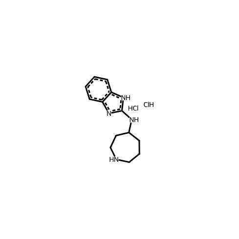 Cl.Cl.c1ccc2[nH]c(NC3CCCNCC3)nc2c1